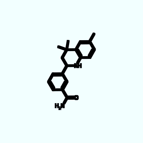 Cc1ccc2c(c1)C(C)(C)CC(c1cccc(C(N)=O)c1)N2